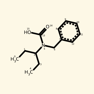 CCC(CC)N(Cc1ccccc1)C(=O)O